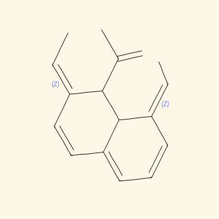 C=C(C)C1/C(=C\C)C=CC2=CC=C/C(=C/C)C21